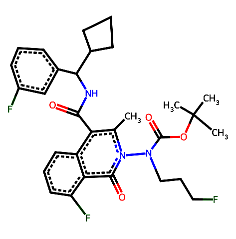 Cc1c(C(=O)NC(c2cccc(F)c2)C2CCC2)c2cccc(F)c2c(=O)n1N(CCCF)C(=O)OC(C)(C)C